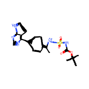 CC(NS(=O)(=O)NC(=O)OC(C)(C)C)c1ccc(-c2ncnc3[nH]ccc23)cc1